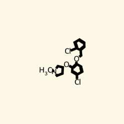 CN1CC[C@@H](Oc2cc(Cl)ccc2OCc2ccccc2Cl)C1